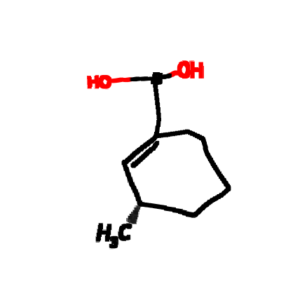 C[C@@H]1C=C(B(O)O)CCC1